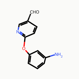 Nc1cccc(Oc2ccc(C=O)cn2)c1